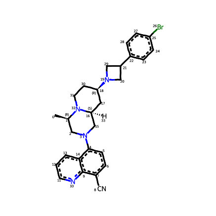 C[C@@H]1CN(c2ccc(C#N)c3ncccc23)C[C@@H]2C[C@H](N3CC(c4ccc(Br)cc4)C3)CCN21